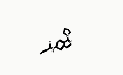 CC#CC(=O)Nc1ccc2c(N3CCCC3)nccc2c1